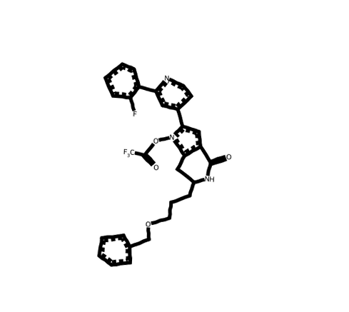 O=C1NC(CCCOCc2ccccc2)Cc2c1cc(-c1ccnc(-c3ccccc3F)c1)n2OC(=O)C(F)(F)F